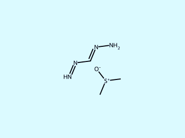 C[S+](C)[O-].N=NC=NN